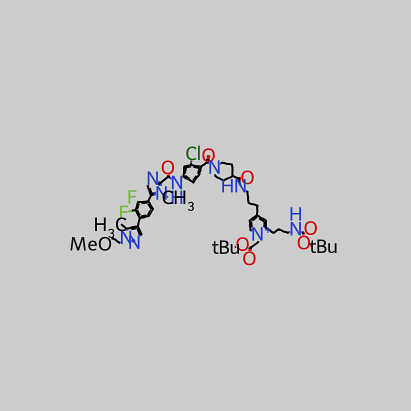 COCCn1ncc(-c2ccc(-c3cnc(C(=O)Nc4ccc(C(=O)N5CCC(C(=O)NCCCc6cc[n+](CC(=O)OC(C)(C)C)c(CCCNC(=O)OC(C)(C)C)c6)CC5)c(Cl)c4)n3C)c(F)c2F)c1C